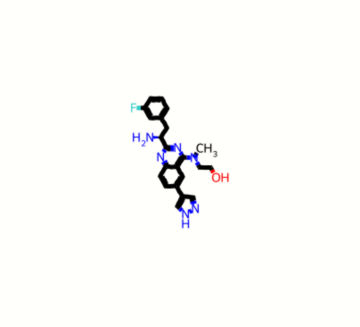 CN(CCO)c1nc([C@@H](N)Cc2cccc(F)c2)nc2ccc(-c3cn[nH]c3)cc12